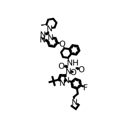 C[C@H]1CCCCN1c1nnc2ccc(O[C@@H]3CC[C@H](NC(=O)N(OC=O)c4cc(C(C)(C)C)nn4-c4ccc(F)c(CCN5CCC5)c4)c4ccccc43)cn12